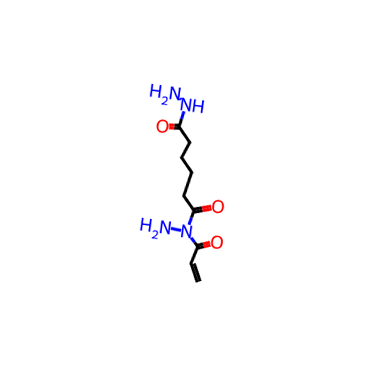 C=CC(=O)N(N)C(=O)CCCCC(=O)NN